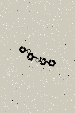 c1ccc(Oc2cccc(COc3ccc(-c4ccccc4)cn3)c2)cc1